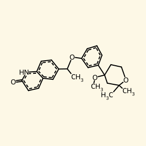 COC1(c2cccc(OC(C)c3ccc4[nH]c(=O)ccc4c3)c2)CCOC(C)(C)C1